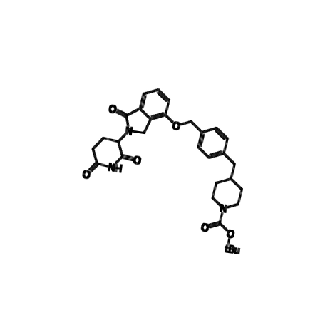 CC(C)(C)OC(=O)N1CCC(Cc2ccc(COc3cccc4c3CN(C3CCC(=O)NC3=O)C4=O)cc2)CC1